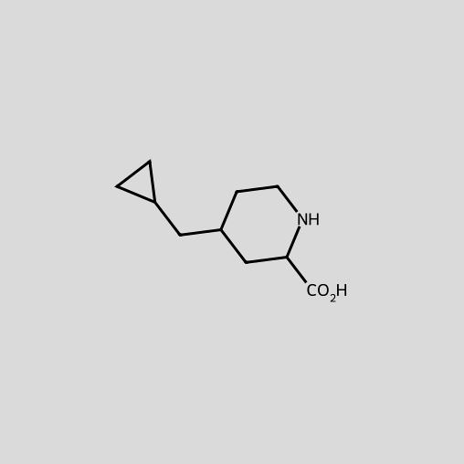 O=C(O)C1CC(CC2CC2)CCN1